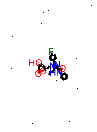 CCCc1c(C(=O)Nc2ccccc2)nc(-c2ccc(F)cc2)n1CC[C@@H]1C[C@@H](O)CC(=O)O1